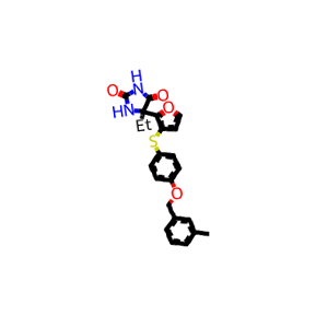 CCC1(c2occc2Sc2ccc(OCc3cccc(C)c3)cc2)NC(=O)NC1=O